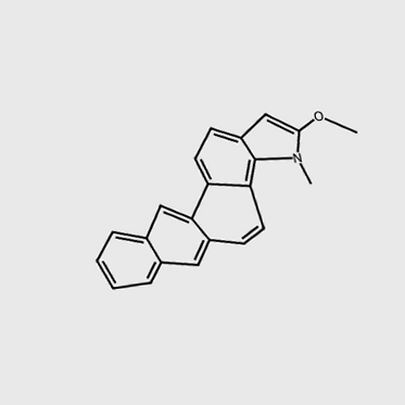 COc1cc2ccc3c4cc5ccccc5cc4ccc3c2n1C